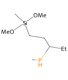 CCC(CC[Si](C)(OC)OC)PC